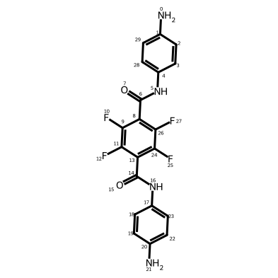 Nc1ccc(NC(=O)c2c(F)c(F)c(C(=O)Nc3ccc(N)cc3)c(F)c2F)cc1